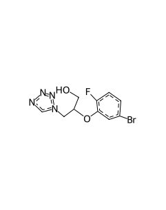 OCC(Cn1cnnn1)Oc1cc(Br)ccc1F